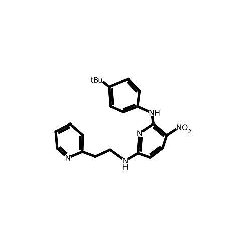 CC(C)(C)c1ccc(Nc2nc(NCCc3ccccn3)ccc2[N+](=O)[O-])cc1